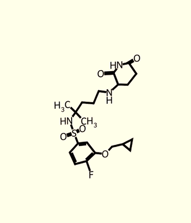 CC(C)(CCCNC1CCC(=O)NC1=O)NS(=O)(=O)c1ccc(F)c(OCC2CC2)c1